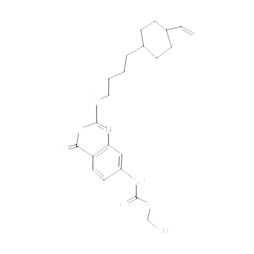 CCOC(=O)Nc1ccc2c(=O)oc(OCCCCC3CCC(C=S)CC3)nc2c1